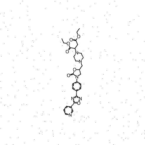 CCOC(=O)CC(C(=O)OCC)N1CCN(CC2CN(c3ccc(-c4noc(-c5cccnc5)n4)cc3)C(=O)O2)CC1